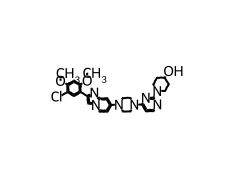 COc1cc(OC)c(-c2cn3ccc(N4CCN(c5ccnc(N6CCC(O)CC6)n5)CC4)cc3n2)cc1Cl